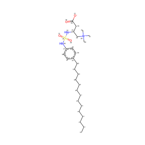 CCCCCCCCCCCCCCc1ccc(NS(=O)(=O)NC(CC(=O)[O-])C[N+](C)(C)C)cc1